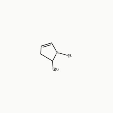 CCN1C=CCC1C(C)(C)C